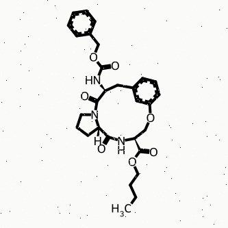 CCCCOC(=O)[C@@H]1COc2cccc(c2)C[C@H](NC(=O)OCc2ccccc2)C(=O)N2CCC[C@H]2C(=O)N1